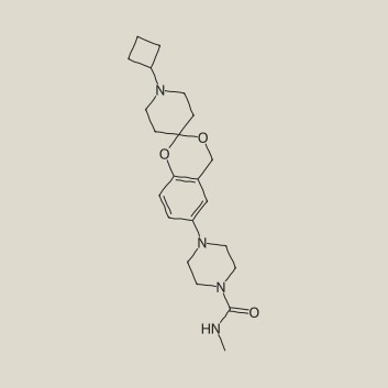 CNC(=O)N1CCN(c2ccc3c(c2)COC2(CCN(C4CCC4)CC2)O3)CC1